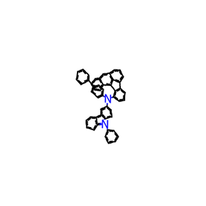 c1ccc(-c2ccc(N(c3ccc4c(c3)c3ccccc3n4-c3ccccc3)c3cccc4c3-c3c5ccccc5cc5cccc-4c35)cc2)cc1